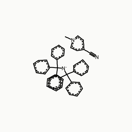 C[n+]1ccc(C#N)cc1.c1ccc(C([N-]C(c2ccccc2)(c2ccccc2)c2ccccc2)(c2ccccc2)c2ccccc2)cc1